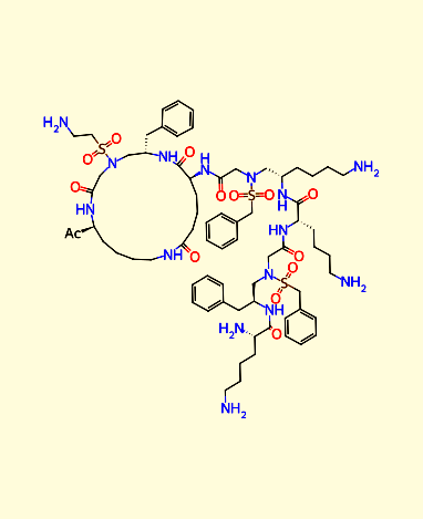 CC(=O)[C@@H]1CCCCNC(=O)CCC[C@H](NC(=O)CN(C[C@H](CCCCN)NC(=O)[C@H](CCCCN)NC(=O)CN(C[C@H](Cc2ccccc2)NC(=O)[C@@H](N)CCCCN)S(=O)(=O)Cc2ccccc2)S(=O)(=O)Cc2ccccc2)C(=O)N[C@@H](Cc2ccccc2)CN(S(=O)(=O)CCN)CC(=O)N1